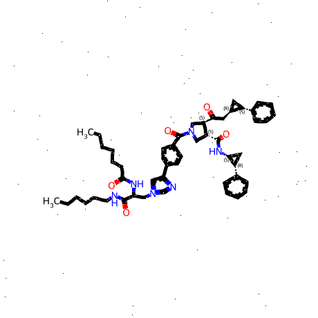 CCCCCCNC(=O)C(Cn1cnc(-c2ccc(C(=O)N3C[C@@H](C(=O)C[C@H]4C[C@@H]4c4ccccc4)[C@H](C(=O)N[C@H]4C[C@@H]4c4ccccc4)C3)cc2)c1)NC(=O)CCCCCC